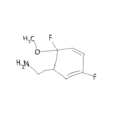 COC1(F)C=CC(F)=CC1CN